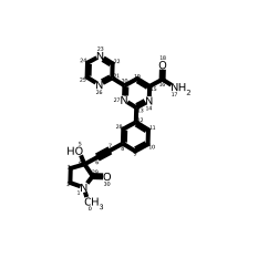 CN1CCC(O)(C#Cc2cccc(-c3nc(C(N)=O)cc(-c4cnccn4)n3)c2)C1=O